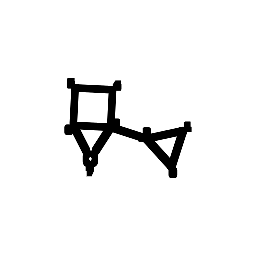 C1C[C]1C12CCC1O2